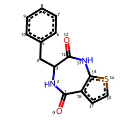 O=C1NC(Cc2ccccc2)C(=O)Nc2sccc21